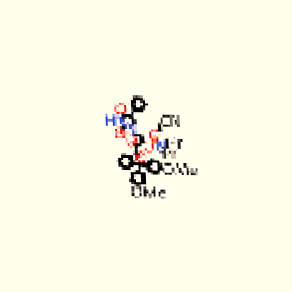 COc1ccc(C(OC[C@H]2O[C@@H](n3cc(-c4ccccc4)c(=O)[nH]c3=O)C[C@H]2OP(OCCC#N)N(C(C)C)C(C)C)(c2ccccc2)c2ccc(OC)cc2)cc1